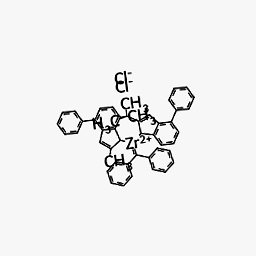 CC1=Cc2c(-c3ccccc3)ccc(C)c2[CH]1[Zr+2](=[C](c1ccccc1)c1ccccc1)[CH]1C(C(C)C)=Cc2c(-c3ccccc3)cccc21.[Cl-].[Cl-]